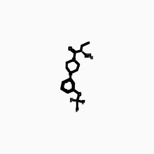 CC[C@H](N)C(=O)N1CCN(c2cccc(OC(F)(F)F)c2)CC1